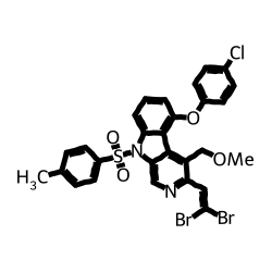 COCc1c(C=C(Br)Br)ncc2c1c1c(Oc3ccc(Cl)cc3)cccc1n2S(=O)(=O)c1ccc(C)cc1